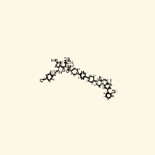 C#Cc1ccc(CNC(=O)[C@@H]2C[C@@H](O)CN2C(=O)[C@@H](NC(=O)C2CCN(c3cnc(N4CCC(N5CCN6c7cc(-c8ccccc8O)nnc7NC[C@H]6C5)CC4)cn3)CC2)C(C)(C)C)cc1